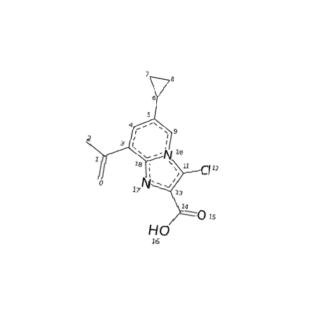 C=C(C)c1cc(C2CC2)cn2c(Cl)c(C(=O)O)nc12